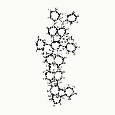 Cc1ccccc1-c1c2c3cccc4c(N(c5ccccc5)c5ccccc5)ccc(c2c(-c2ccccc2C)c2c5ccc6c7ccc8c9c(ccc(c%10ccc(c12)c5c%106)c79)c1cc2cccc5c6ccccc6c(c25)c18)c43